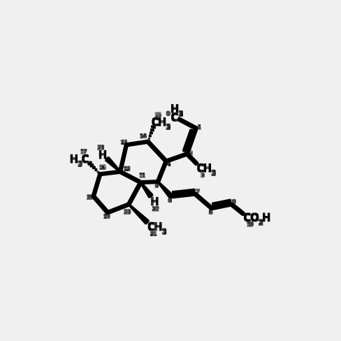 C/C=C(/C)C1[C@@H](/C=C/C=C/C(=O)O)[C@H]2[C@@H](C[C@@H]1C)[C@@H](C)CC[C@@H]2C